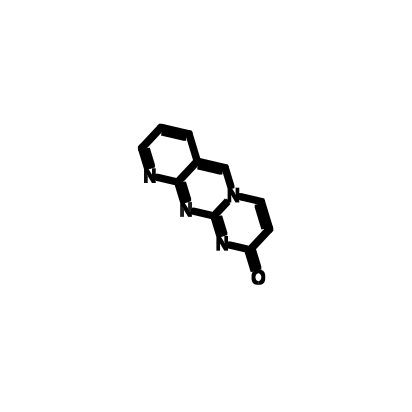 O=c1ccn2cc3cccnc3nc2n1